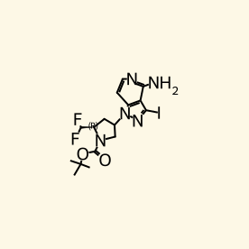 CC(C)(C)OC(=O)N1CC(n2nc(I)c3c(N)nccc32)C[C@@H]1C(F)F